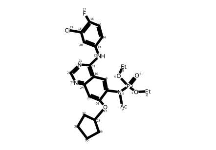 CCOP(=O)(OCC)N(C(C)=O)c1cc2c(Nc3ccc(F)c(Cl)c3)ncnc2cc1OC1CCCC1